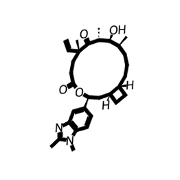 C=C[C@@]1(C)CCC(=O)O[C@H](c2ccc3c(c2)nc(C)n3C)C[C@@H]2CC[C@H]2CCC[C@H](C)[C@H](O)[C@@H](C)C1=O